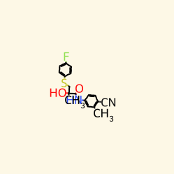 Cc1cc(NC(=O)C(C)(O)CSc2ccc(F)cc2)ccc1C#N